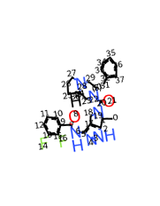 CC1c2[nH]nc(NC(=O)c3cccc(F)c3F)c2CN1C(=O)N1C[C@@H]2CCCN2C[C@@H]1Cc1ccccc1